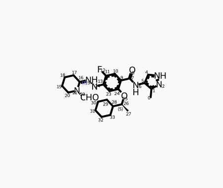 Cc1n[nH]cc1NC(=O)c1cc(F)c(N/N=C2/CCCCN2C=O)cc1O[C@@H](C)C1CCCCC1